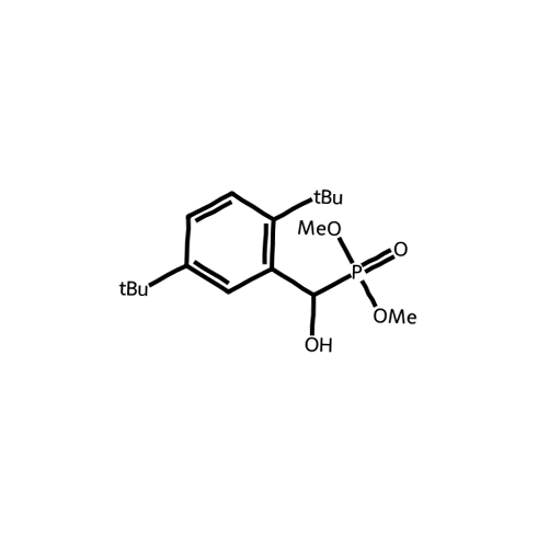 COP(=O)(OC)C(O)c1cc(C(C)(C)C)ccc1C(C)(C)C